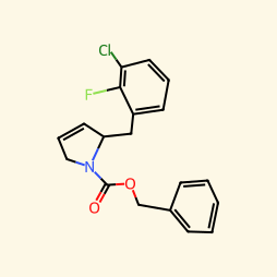 O=C(OCc1ccccc1)N1CC=CC1Cc1cccc(Cl)c1F